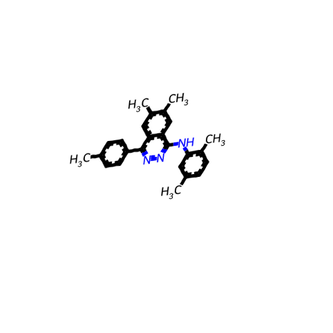 Cc1ccc(-c2nnc(Nc3cc(C)ccc3C)c3cc(C)c(C)cc23)cc1